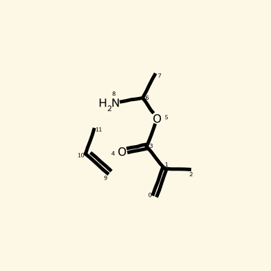 C=C(C)C(=O)OC(C)N.C=CC